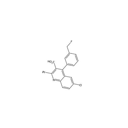 CC(C)c1nc2ccc(Cl)cc2c(-c2cccc(CF)c2)c1C(=O)O